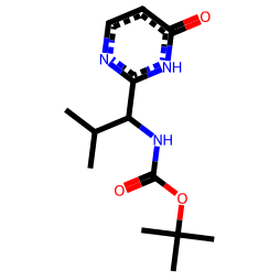 CC(C)C(NC(=O)OC(C)(C)C)c1nccc(=O)[nH]1